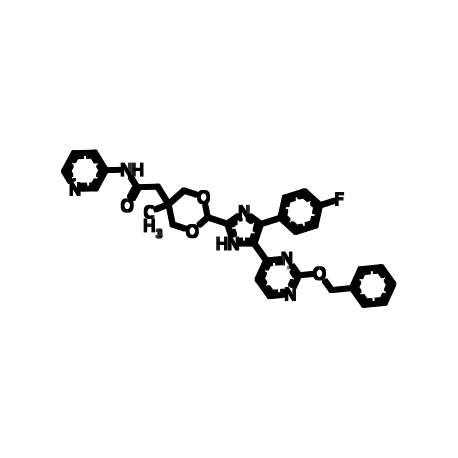 CC1(CC(=O)Nc2cccnc2)COC(c2nc(-c3ccc(F)cc3)c(-c3ccnc(OCc4ccccc4)n3)[nH]2)OC1